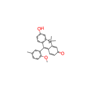 COc1ccc(C)cc1C1=C2C=CC(=O)C=C2[Si](C)(C)c2cc(O)ccc21